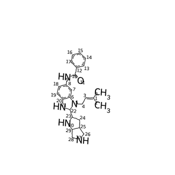 CC(C)=CCN1c2cc(NC(=O)c3ccccc3)ccc2NC1C1CC2CNCC2N1